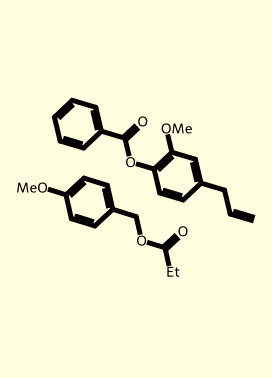 C=CCc1ccc(OC(=O)c2ccccc2)c(OC)c1.CCC(=O)OCc1ccc(OC)cc1